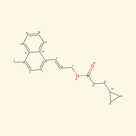 Cc1ccc(C=CCOC(=O)CCC2CC2)c2ccccc12